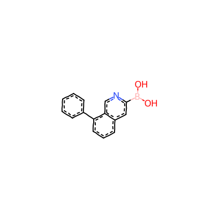 OB(O)c1cc2cccc(-c3ccccc3)c2cn1